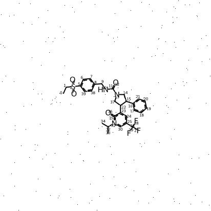 CCS(=O)(=O)c1ccc(CNC(=O)N2CC(c3ccccc3)C(c3cc(C(F)(F)F)cn(C(C)C)c3=O)C2)cc1